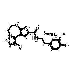 NC[C@H](Cc1ccc(F)c(F)c1)NC(=O)c1cc2c(s1)OCCn1ncc(Cl)c1-2